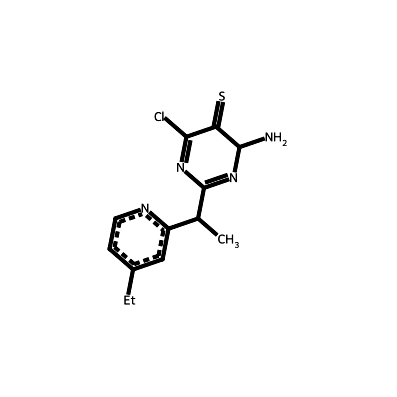 CCc1ccnc(C(C)C2=NC(N)C(=S)C(Cl)=N2)c1